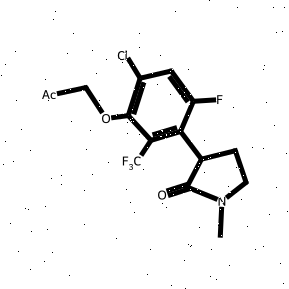 CC(=O)COc1c(Cl)cc(F)c(C2CCN(C)C2=O)c1C(F)(F)F